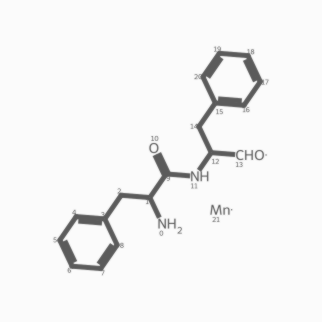 NC(Cc1ccccc1)C(=O)NC([C]=O)Cc1ccccc1.[Mn]